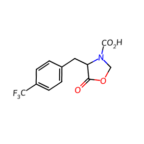 O=C1OCN(C(=O)O)C1Cc1ccc(C(F)(F)F)cc1